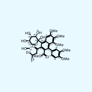 CCC(CC)CC(=O)c1c(C(=O)OC)c(-c2ccc(OC)c(OC)c2)c2c(OC)c(OC)c(OC)cc2c1[C@]1(O)O[C@H](CO)[C@@H](O)[C@H](O)[C@H]1O